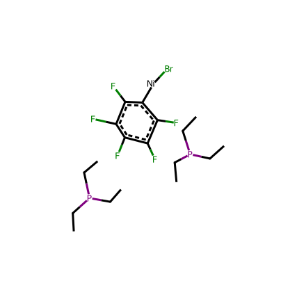 CCP(CC)CC.CCP(CC)CC.Fc1c(F)c(F)[c]([Ni][Br])c(F)c1F